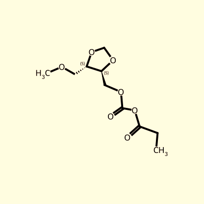 CCC(=O)OC(=O)OC[C@@H]1OCO[C@H]1COC